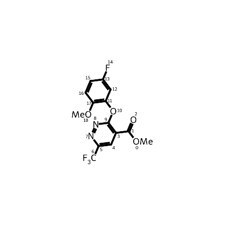 COC(=O)c1cc(C(F)(F)F)nnc1Oc1cc(F)ccc1OC